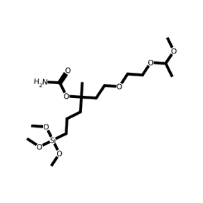 COC(C)OCCOCCC(C)(CCC[Si](OC)(OC)OC)OC(N)=O